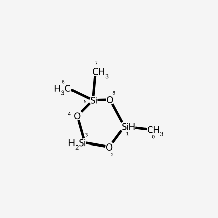 C[SiH]1O[SiH2]O[Si](C)(C)O1